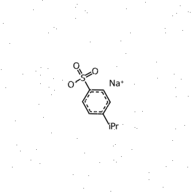 CC(C)c1ccc(S(=O)(=O)[O-])cc1.[Na+]